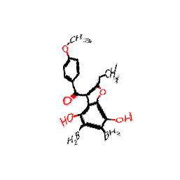 Bc1c(B)c(O)c2c(C(=O)c3ccc(OC)cc3)c(CC)oc2c1O